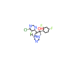 C[C@@H](c1ncnc(Cl)c1F)[C@](O)(Cn1cncn1)c1ccc(F)cc1F